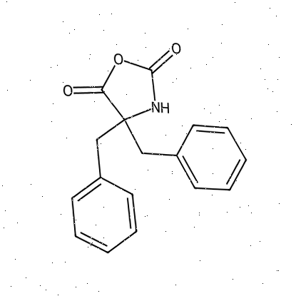 O=C1NC(Cc2ccccc2)(Cc2ccccc2)C(=O)O1